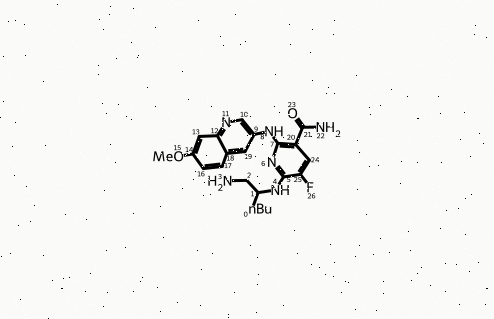 CCCCC(CN)Nc1nc(Nc2cnc3cc(OC)ccc3c2)c(C(N)=O)cc1F